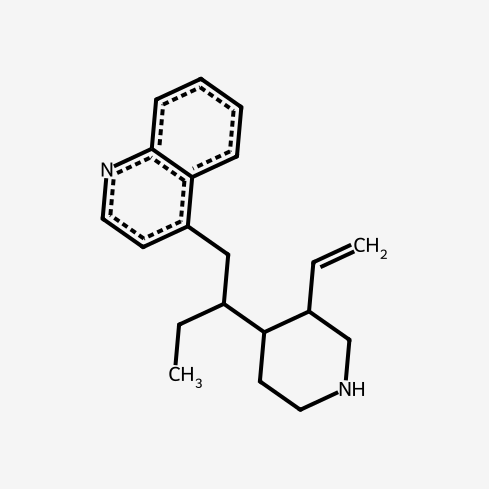 C=CC1CNCCC1C(CC)Cc1ccnc2ccccc12